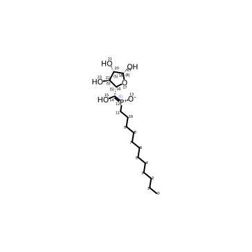 CCCCCCCCCCCC/[P+]([O-])=C(\O)[C@H]1O[C@@H](O)[C@@H](O)[C@@H]1O